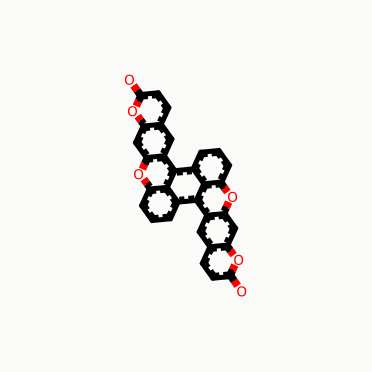 O=c1ccc2cc3c(cc2o1)oc1cccc2c1c3c1cccc3oc4cc5oc(=O)ccc5cc4c2c31